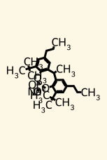 CCCc1cc2c(c(C(C)(C)C)c1)OP(=O)([O-])Oc1c(cc(CCC)cc1C(C)(C)C)C2C.[Na+]